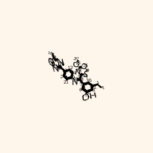 CCc1cc(O)cc(C(=Nc2ccc(-c3noc(C)n3)cc2)C(=NC(=O)OC)SC)c1